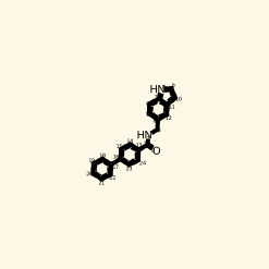 O=C(NCc1ccc2[nH]ccc2c1)c1ccc(-c2ccccc2)cc1